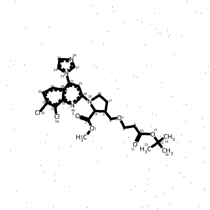 COC(=O)C1C(COCCC(=O)OC(C)(C)C)CCN1c1cc(-n2ccnc2)c2ccc(Cl)c(Cl)c2n1